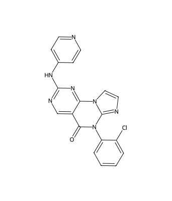 O=c1c2cnc(Nc3ccncc3)nc2n2ccnc2n1-c1ccccc1Cl